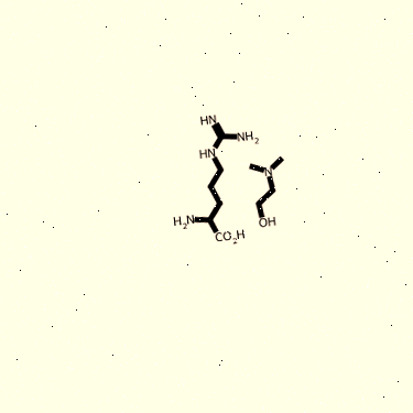 CN(C)CCO.N=C(N)NCCCC(N)C(=O)O